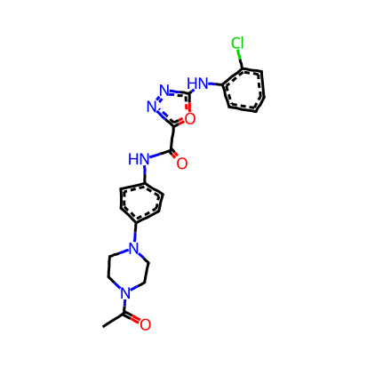 CC(=O)N1CCN(c2ccc(NC(=O)c3nnc(Nc4ccccc4Cl)o3)cc2)CC1